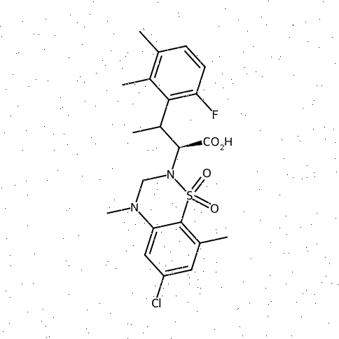 Cc1ccc(F)c(C(C)[C@@H](C(=O)O)N2CN(C)c3cc(Cl)cc(C)c3S2(=O)=O)c1C